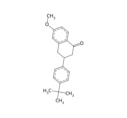 COc1ccc2c(c1)CC(c1ccc(C(C)(C)C)cc1)CC2=O